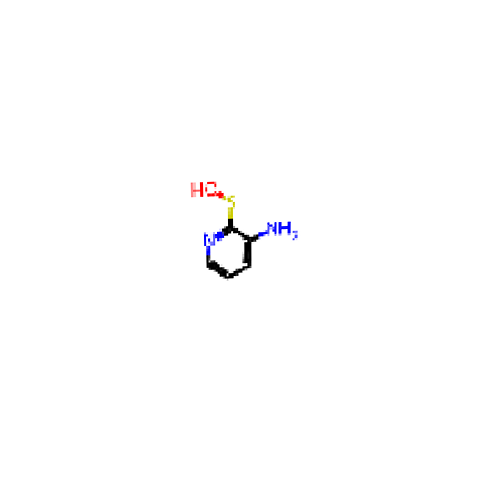 Nc1cccnc1SO